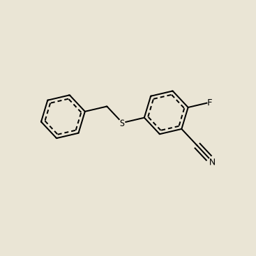 N#Cc1cc(SCc2ccccc2)ccc1F